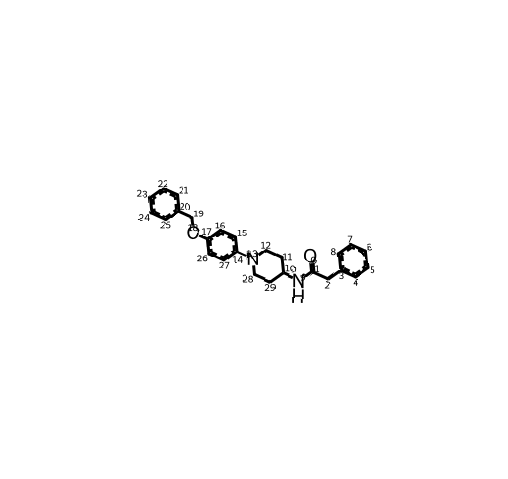 O=C(Cc1ccccc1)NC1CCN(c2ccc(OCc3ccccc3)cc2)CC1